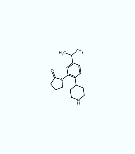 CC(C)c1ccc(C2CCNCC2)c(N2CCCC2=O)c1